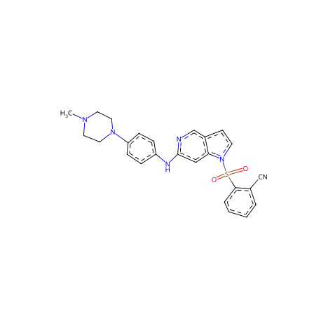 CN1CCN(c2ccc(Nc3cc4c(ccn4S(=O)(=O)c4ccccc4C#N)cn3)cc2)CC1